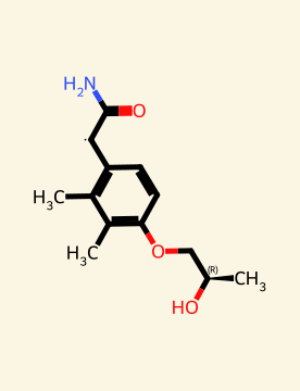 Cc1c([CH]C(N)=O)ccc(OC[C@@H](C)O)c1C